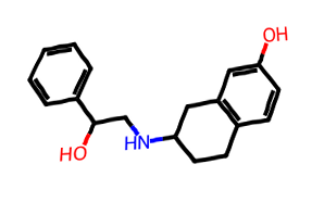 Oc1ccc2c(c1)CC(NCC(O)c1ccccc1)CC2